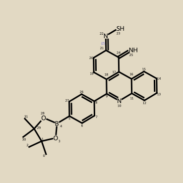 CC1(C)OB(c2ccc(-c3nc4ccccc4c4c3C=C/C(=N/S)C4=N)cc2)OC1(C)C